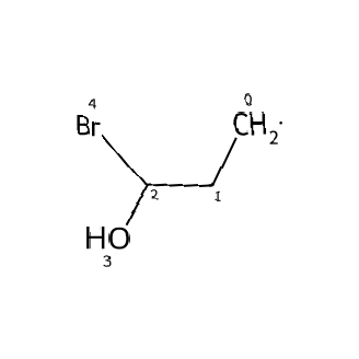 [CH2]CC(O)Br